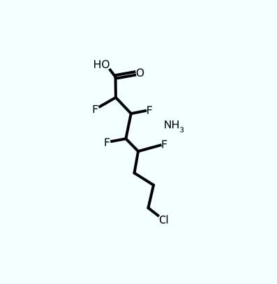 N.O=C(O)C(F)C(F)C(F)C(F)CCCCl